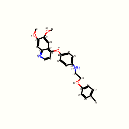 COc1cc2nccc(Oc3ccc(NCCOc4ccc(C)cc4)cc3)c2cc1OC